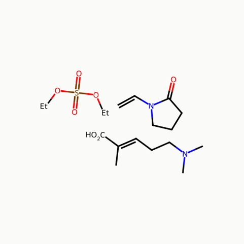 C=CN1CCCC1=O.CC(=CCCN(C)C)C(=O)O.CCOS(=O)(=O)OCC